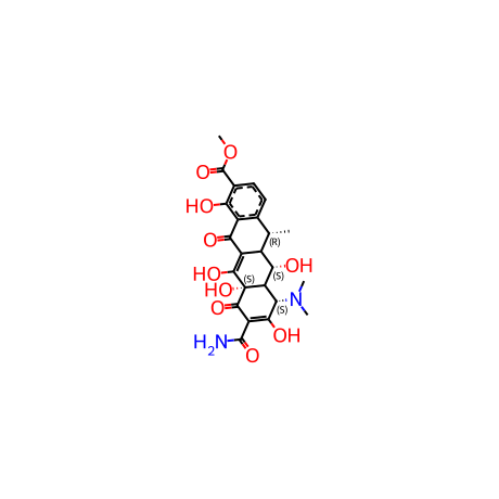 COC(=O)c1ccc2c(c1O)C(=O)C1=C(O)[C@]3(O)C(=O)C(C(N)=O)=C(O)[C@@H](N(C)C)C3[C@@H](O)C1[C@H]2C